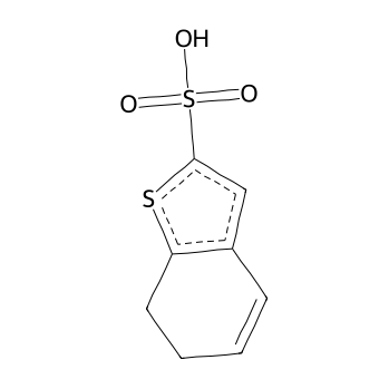 O=S(=O)(O)c1cc2c(s1)CCC=C2